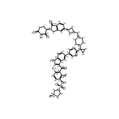 O=C1CCC(N2Cc3cc(N4CC(CN5CCN(C6(c7ncc(-c8cnc9[nH]cc(C(=O)c%10c(F)ccc(NS(=O)(=O)N%11CC[C@@H](F)C%11)c%10F)c9c8)cn7)CC6)CC5)C4)ccc3C2=O)C(=O)N1